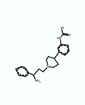 CC(C)C(=O)Nc1cccc(C2CCN(CCC(N)c3ccccc3)CC2)c1